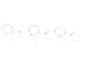 CC(C)C(=O)c1c[n+](CC(C)C(=O)c2nccc(CC(C)C(=O)c3cccnn3)n2)ccn1